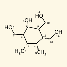 C[C@@H]1[C@H](C)C(CO)[C@H](O)C(CO)[C@@H]1CO